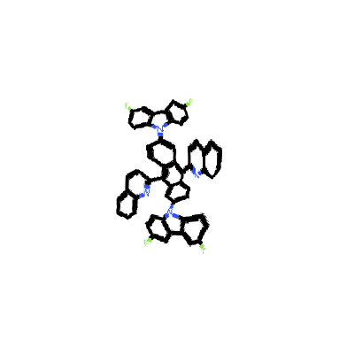 Fc1ccc2c(c1)c1cc(F)ccc1n2-c1ccc2c(-c3ccc4ccccc4n3)c3cc(-n4c5ccc(F)cc5c5cc(F)ccc54)ccc3c(-c3ccc4ccccc4n3)c2c1